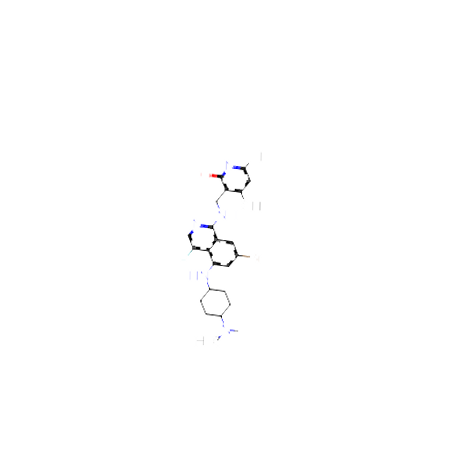 Cc1cc(C)c(CNc2ncc(F)c3c(NC4CCC(N(C)C)CC4)cc(Br)cc23)c(=O)[nH]1